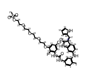 Cc1ccc(NC(=O)Nc2cc(C(F)(F)F)cc(OCCOCCOCCOCCOS(C)(=O)=O)c2F)cc1Nc1ccc2c(c1)NC(=O)/C2=C\c1ccc[nH]1